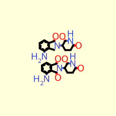 Nc1cccc2c1C(=O)N(C1CCC(=O)NC1=O)C2=O.Nc1cccc2c1CN(C1CCC(=O)NC1=O)C2=O